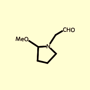 COC1CCCN1CC=O